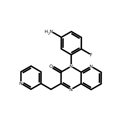 Nc1ccc(F)c(-n2c(=O)c(Cc3cccnc3)nc3cccnc32)c1